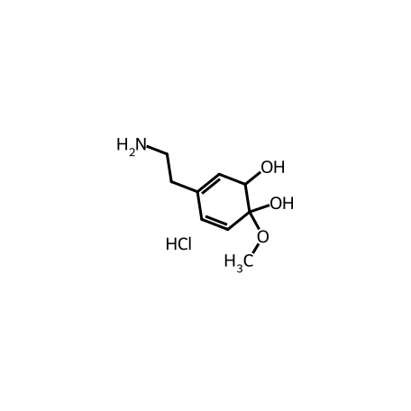 COC1(O)C=CC(CCN)=CC1O.Cl